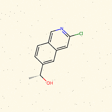 C[C@@H](O)c1ccc2cnc(Cl)cc2c1